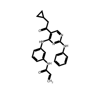 C=CC(=O)Nc1cccc(Nc2nc(Nc3ccccc3)ncc2C(=O)CC2CC2)c1